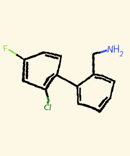 NCc1ccccc1-c1ccc(F)cc1Cl